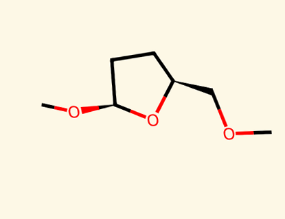 COC[C@@H]1CC[C@H](OC)O1